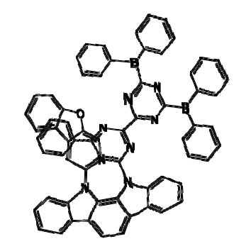 c1ccc(B(c2ccccc2)c2nc(B(c3ccccc3)c3ccccc3)nc(-c3nc(-c4ccccc4)nc(-n4c5ccccc5c5ccc6c7ccccc7n(-c7ccc8oc9ccccc9c8c7)c6c54)n3)n2)cc1